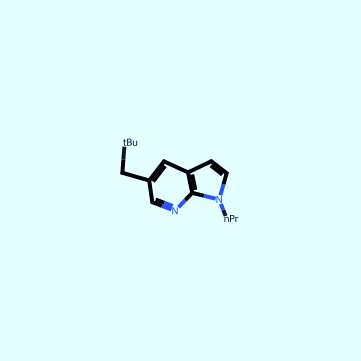 CCCn1ccc2cc(CC(C)(C)C)cnc21